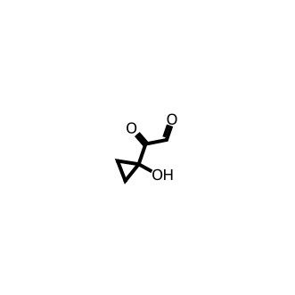 O=CC(=O)C1(O)CC1